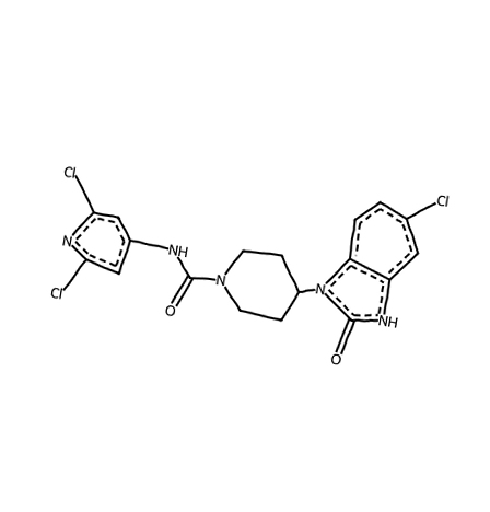 O=C(Nc1cc(Cl)nc(Cl)c1)N1CCC(n2c(=O)[nH]c3cc(Cl)ccc32)CC1